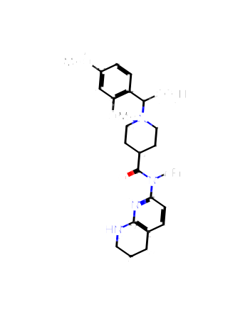 CCCN(C(=O)C1CCN(C(C(=O)O)c2ccc(OC)cc2OC)CC1)c1ccc2c(n1)NCCC2